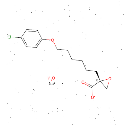 O.O=C([O-])[C@@]1(CCCCCCOc2ccc(Cl)cc2)CO1.[Na+]